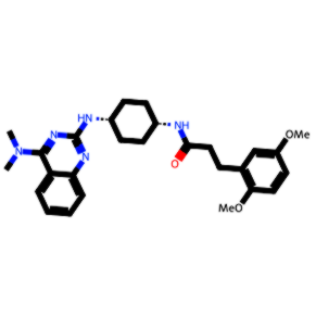 COc1ccc(OC)c(CCC(=O)N[C@H]2CC[C@@H](Nc3nc(N(C)C)c4ccccc4n3)CC2)c1